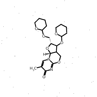 Cc1cn2c(nc1=O)OCC1C(OC3CCCCO3)[C@@H](COC3CCCCO3)O[C@H]12